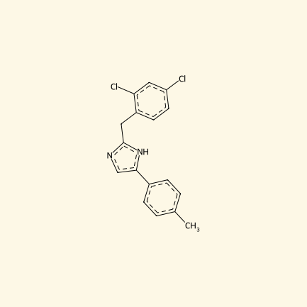 Cc1ccc(-c2cnc(Cc3ccc(Cl)cc3Cl)[nH]2)cc1